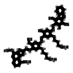 CCCOc1cc2cccc(S(=O)(=O)O)c2c2sc(N=Nc3cc(SCCCS(=O)(=O)O)c(N=Nc4cc(OCCCS(=O)(=O)O)c(N=Nc5c(C)c(C#N)c6nc7ccccc7n6c5O)cc4Cl)cc3CO)nc12